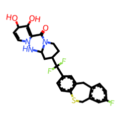 O=C1C2=C(O)C(O)C=CN2NC2CC(C(F)(F)c3ccc4c(c3)Cc3ccc(F)cc3CS4)CCN12